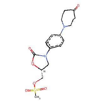 CS(=O)(=O)OC[C@H]1CN(c2ccc(N3CCC(=O)CC3)cc2)C(=O)O1